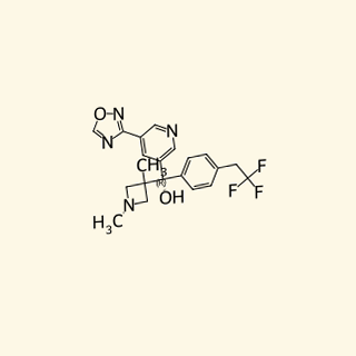 CN1CC(C)([C@](O)(c2ccc(CC(F)(F)F)cc2)c2cncc(-c3ncon3)c2)C1